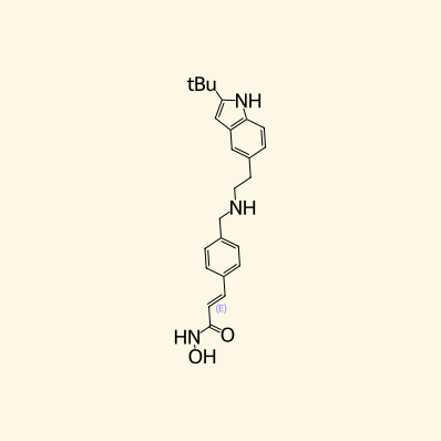 CC(C)(C)c1cc2cc(CCNCc3ccc(/C=C/C(=O)NO)cc3)ccc2[nH]1